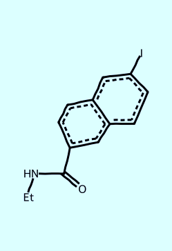 CCNC(=O)c1ccc2cc(I)ccc2c1